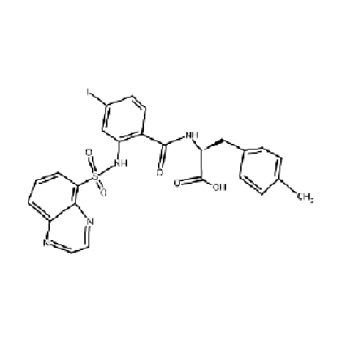 Cc1ccc(C[C@H](NC(=O)c2ccc(I)cc2NS(=O)(=O)c2cccc3nccnc23)C(=O)O)cc1